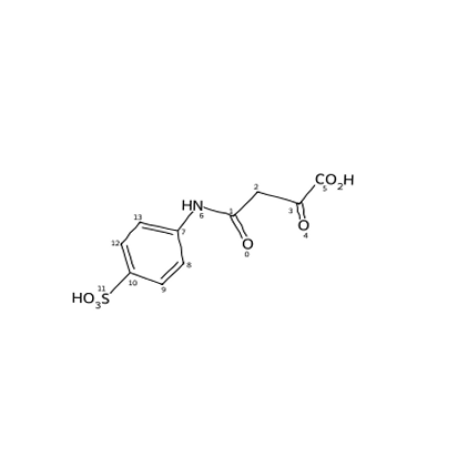 O=C(CC(=O)C(=O)O)Nc1ccc(S(=O)(=O)O)cc1